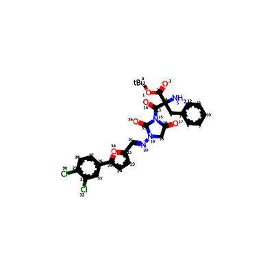 CC(C)(C)OC(=O)C(N)(Cc1ccccc1)C(=O)N1C(=O)CN(N=Cc2ccc(-c3ccc(Cl)c(Cl)c3)o2)C1=O